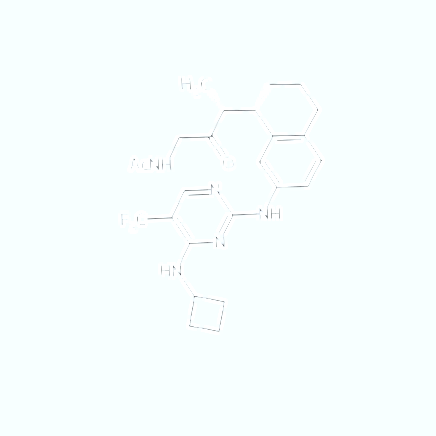 CC(=O)NCC(=O)[C@H](C)[C@@H]1CCCc2ccc(Nc3ncc(C(F)(F)F)c(NC4CCC4)n3)cc21